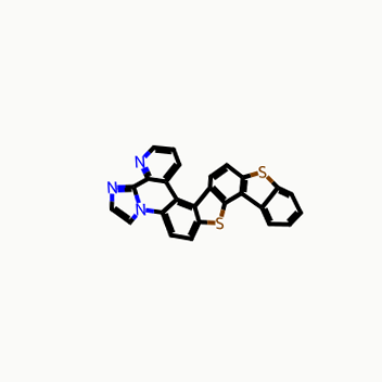 c1ccc2c(c1)sc1ccc3c(sc4ccc5c(c6cccnc6c6nccn56)c43)c12